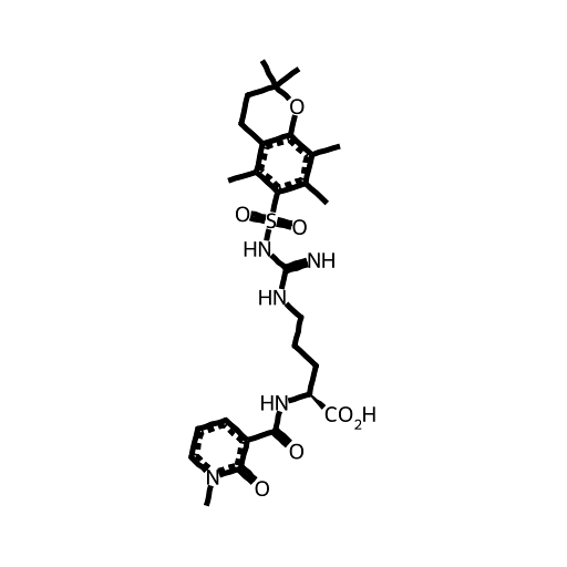 Cc1c(C)c(S(=O)(=O)NC(=N)NCCC[C@H](NC(=O)c2cccn(C)c2=O)C(=O)O)c(C)c2c1OC(C)(C)CC2